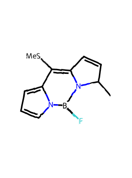 CSC1=C2C=CC(C)N2B(F)n2cccc21